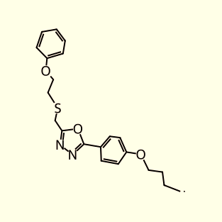 [CH2]CCCOc1ccc(-c2nnc(CSCCOc3ccccc3)o2)cc1